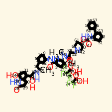 Cc1ccc(C(=O)Nc2cccc(CC(C)NC[C@H](O)c3ccc(O)c4[nH]c(=O)ccc34)c2)cc1N(C)C(=O)CCN1CCC(OC(=O)Nc2ccccc2-c2ccccc2)CC1.O=C(O)C(F)(F)F.O=C(O)C(F)(F)F